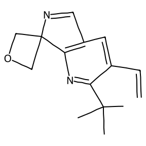 C=Cc1cc2c(nc1C(C)(C)C)C1(COC1)N=C2